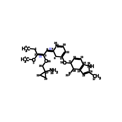 CC/C(OC)=C(\C=C1/CC(OC2C=Cc3[nH]c(C)cc3C2F)=CC=N1)OCC1(N)CC1